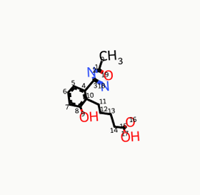 Cc1nc(-c2cccc(O)c2CCCCC(=O)O)no1